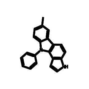 Cc1ccc2c(c1)c1ccc3[nH]ccc3c1n2-c1ccccc1